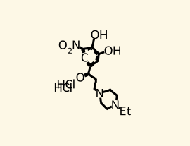 CCN1CCN(CCC(=O)c2cc(O)c(O)c([N+](=O)[O-])c2)CC1.Cl.Cl